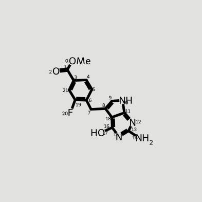 COC(=O)c1ccc(Cc2c[nH]c3nc(N)nc(O)c23)c(F)c1